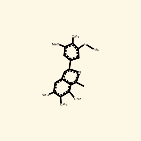 CCCCOc1cc(-c2cc3cc(OC)c(OC)c(OC)c3c(C)n2)cc(OC)c1OC